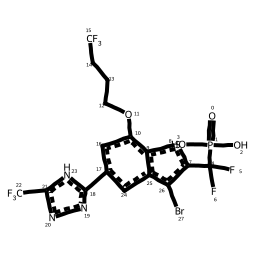 O=P(O)(O)C(F)(F)c1sc2c(OCCCC(F)(F)F)cc(-c3nnc(C(F)(F)F)[nH]3)cc2c1Br